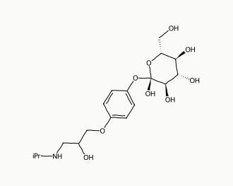 CC(C)NCC(O)COc1ccc(O[C@]2(O)O[C@H](CO)[C@@H](O)[C@H](O)[C@H]2O)cc1